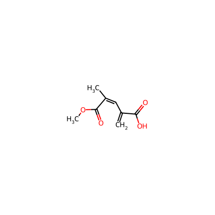 C=C(C=C(C)C(=O)OC)C(=O)O